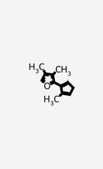 CC1=CC[C]=C1c1occ(C)c1C